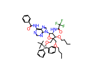 CCCCOCC1(CO[Si](c2ccccc2)(c2ccccc2)C(C)(C)C)O[C@@H](n2cnc3c(NC(=O)c4ccccc4)ncnc32)[C@@H](NC(=O)C(F)(F)F)C1OCCCC